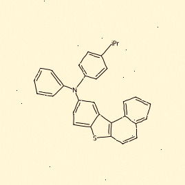 CC(C)c1ccc(N(c2ccccc2)c2ccc3sc4ccc5ccccc5c4c3c2)cc1